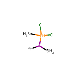 [3H]I([SiH3])[PH]([SiH3])(Cl)Cl